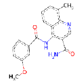 COc1cccc(C(=O)Nc2c(C(N)=O)cnc3c(C)cccc23)c1